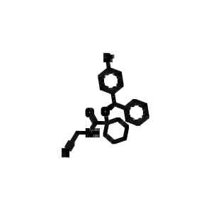 N#CCNC(=O)C1(O[C@H](c2ccccc2)c2ccc(Br)cc2)CCCCC1